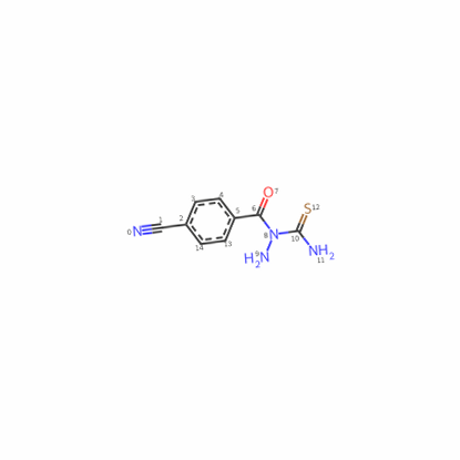 N#Cc1ccc(C(=O)N(N)C(N)=S)cc1